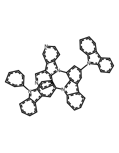 c1ccc(-n2c3ccccc3c3cc(-n4c5ccccc5c5cc(-n6c7ccccc7c7ccccc76)cc(-n6c7ccncc7c7cnccc76)c54)ccc32)cc1